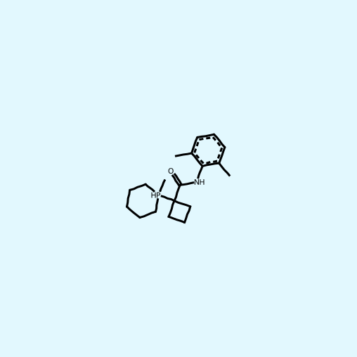 Cc1cccc(C)c1NC(=O)C1([PH]2(C)CCCCC2)CCC1